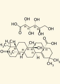 CC1(C)C=C2[C@H]3CC[C@@H]4[C@@]5(C)CCC(=O)C(C)(C)[C@@H]5CC[C@@]4(C)[C@]3(C)CC[C@@]2(C(=O)O)CC1.O=C(O)[C@H](O)[C@@H](O)[C@H](O)[C@H](O)CO